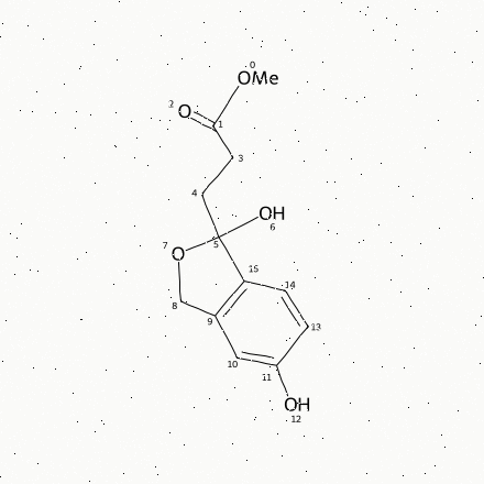 COC(=O)CCC1(O)OCc2cc(O)ccc21